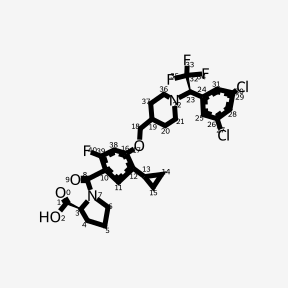 O=C(O)[C@@H]1CCCN1C(=O)c1cc(C2CC2)c(OCC2CCN([C@H](c3cc(Cl)cc(Cl)c3)C(F)(F)F)CC2)cc1F